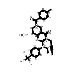 CC#CCn1c(N(CC)c2ccc(C(F)(F)F)cc2)nc2c(c1=O)CN(C(=O)c1ccc(C)cc1)CC2.Cl